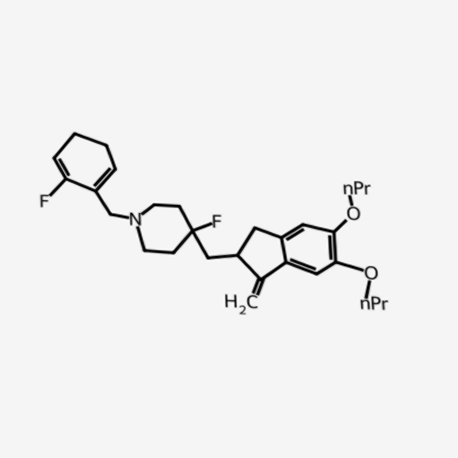 C=C1c2cc(OCCC)c(OCCC)cc2CC1CC1(F)CCN(CC2=CCCC=C2F)CC1